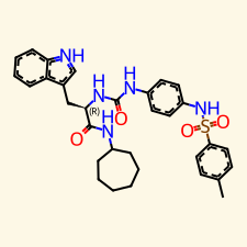 Cc1ccc(S(=O)(=O)Nc2ccc(NC(=O)N[C@H](Cc3c[nH]c4ccccc34)C(=O)NC3CCCCCC3)cc2)cc1